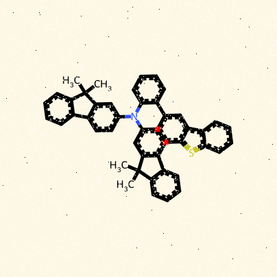 CC1(C)c2ccccc2-c2ccc(N(c3ccc4c(c3)C(C)(C)c3ccccc3-4)c3ccccc3-c3ccc4sc5ccccc5c4c3)cc21